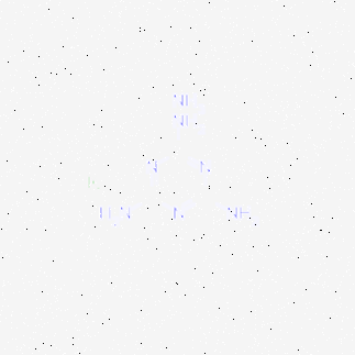 Cl.N.Nc1nc(N)nc(N)n1